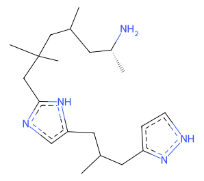 CC(Cc1cc[nH]n1)Cc1cnc(CC(C)(C)CC(C)C[C@@H](C)N)[nH]1